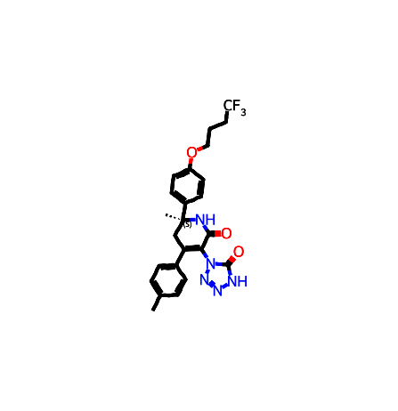 Cc1ccc(C2=C(n3nn[nH]c3=O)C(=O)N[C@](C)(c3ccc(OCCCC(F)(F)F)cc3)C2)cc1